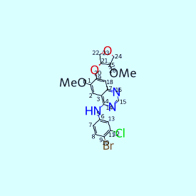 COc1cc2c(Nc3ccc(Br)c(Cl)c3)ncnc2cc1O[C@H]1COC[C@H]1OC